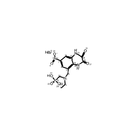 Br.CCN(Cc1cc([N+](=O)[O-])cc2[nH]c(=O)c(=O)[nH]c12)CP(=O)(O)O